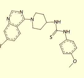 COc1ccc(NC(=S)NC2CCN(c3ncnc4cc(Cl)ccc34)CC2)cc1